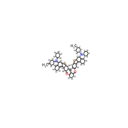 Cc1ccc(N(c2ccccc2)c2cc3sc4cc5c(cc4c3c3ccccc23)Oc2cccc3c2B5c2cc4sc5cc(N(c6ccccc6)c6ccc(C)cc6)c6ccccc6c5c4cc2O3)cc1